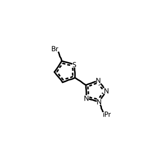 CC(C)n1nnc(-c2ccc(Br)s2)n1